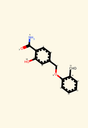 NC(=O)c1ccc(COc2ccccc2C=O)cc1O